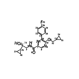 C[C@](O)(CNC(=O)c1cnc(OCC2CC2)c(-c2ccc(F)cc2)n1)C1CC1